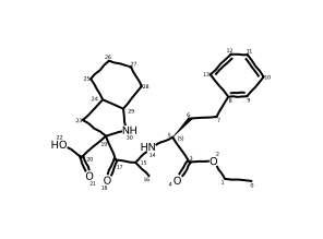 CCOC(=O)[C@H](CCc1ccccc1)NC(C)C(=O)C1(C(=O)O)CC2CCCCC2N1